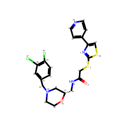 O=C(CSc1nc(-c2ccncc2)cs1)NC[C@H]1CN(Cc2ccc(Cl)c(Cl)c2)CCO1